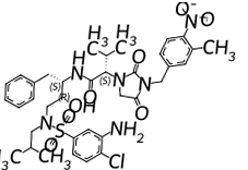 Cc1cc(CN2C(=O)CN([C@H](C(=O)N[C@@H](Cc3ccccc3)[C@H](O)CN(CC(C)C)S(=O)(=O)c3ccc(Cl)c(N)c3)C(C)C)C2=O)ccc1[N+](=O)[O-]